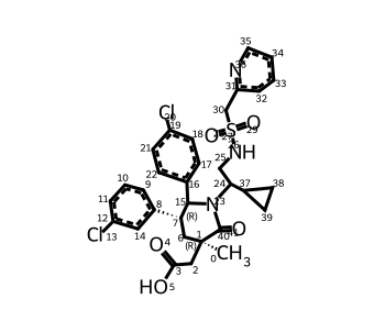 C[C@]1(CC(=O)O)C[C@H](c2cccc(Cl)c2)C(c2ccc(Cl)cc2)N(C(CNS(=O)(=O)Cc2ccccn2)C2CC2)C1=O